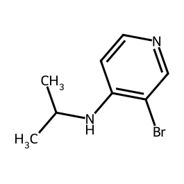 CC(C)Nc1ccncc1Br